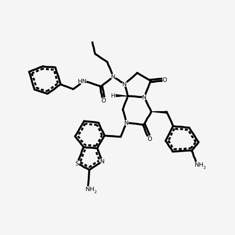 CCCN(C(=O)NCc1ccccc1)N1CC(=O)N2[C@@H](Cc3ccc(N)cc3)C(=O)N(Cc3cccc4sc(N)nc34)C[C@@H]21